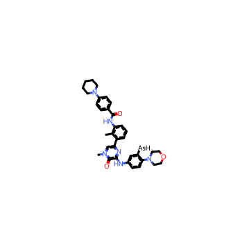 Cc1c(NC(=O)c2ccc(N3CCCCC3)cc2)cccc1-c1cn(C)c(=O)c(Nc2ccc(N3CCOCC3)c([AsH2])c2)n1